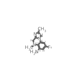 Cc1nc2n(n1)-c1cc(F)cc(N)c1N(C)C2